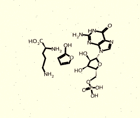 NCCC[C@H](N)C(=O)O.Nc1nc2c(ncn2[C@@H]2O[C@H](COP(=O)(O)O)[C@@H](O)[C@H]2O)c(=O)[nH]1.Oc1ccco1